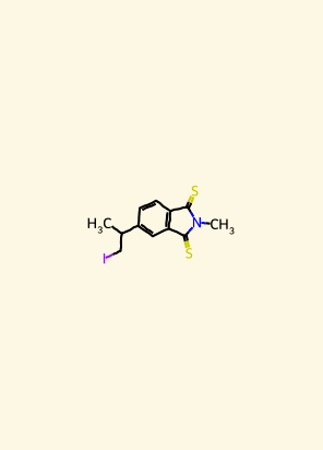 CC(CI)c1ccc2c(c1)C(=S)N(C)C2=S